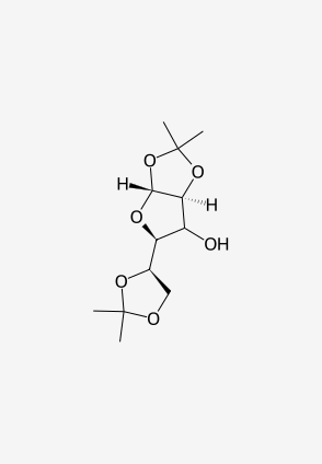 CC1(C)OC[C@H]([C@H]2O[C@@H]3OC(C)(C)O[C@H]3C2O)O1